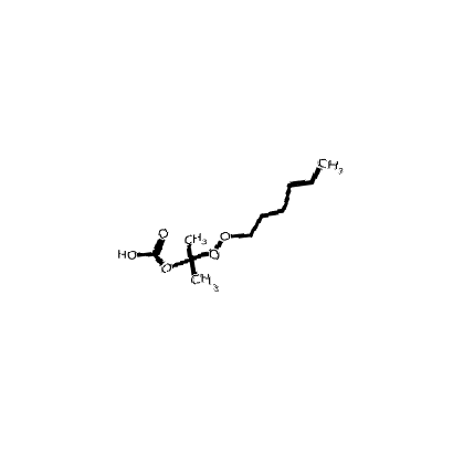 CCCCCCOOC(C)(C)OC(=O)O